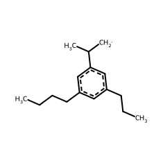 [CH2]C(C)c1cc(CCC)cc(CCCC)c1